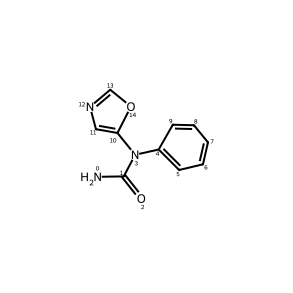 NC(=O)N(c1ccccc1)c1cnco1